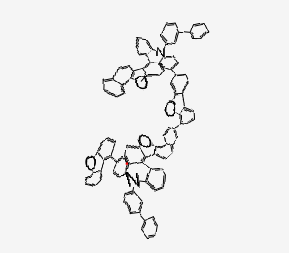 c1ccc(-c2cccc(N(c3ccc(-c4ccc5c(c4)oc4c(-c6ccc7c(ccc8c7oc7cccc(-c9ccccc9N(c9ccc(-c%10cccc%11oc%12ccccc%12c%10%11)cc9)c9cccc(-c%10ccccc%10)c9)c78)c6)cccc45)cc3)c3ccccc3-c3cccc4oc5c6ccccc6ccc5c34)c2)cc1